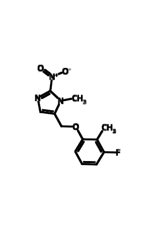 Cc1c(F)cccc1OCc1cnc([N+](=O)[O-])n1C